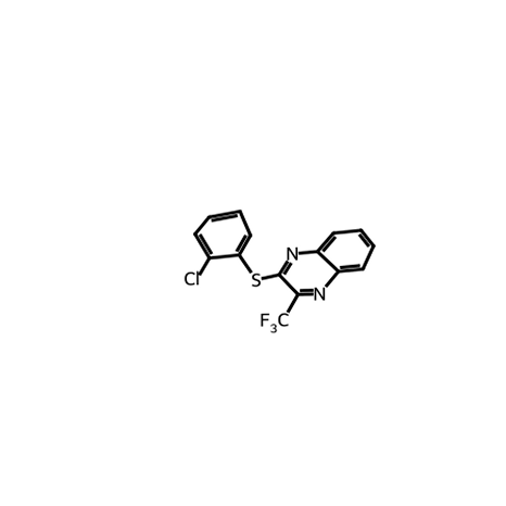 FC(F)(F)c1nc2ccccc2nc1Sc1ccccc1Cl